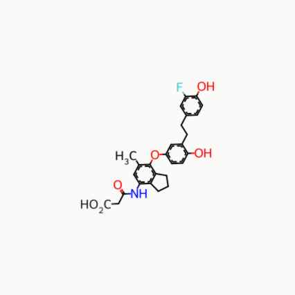 Cc1cc(NC(=O)CC(=O)O)c2c(c1Oc1ccc(O)c(CCc3ccc(O)c(F)c3)c1)CCC2